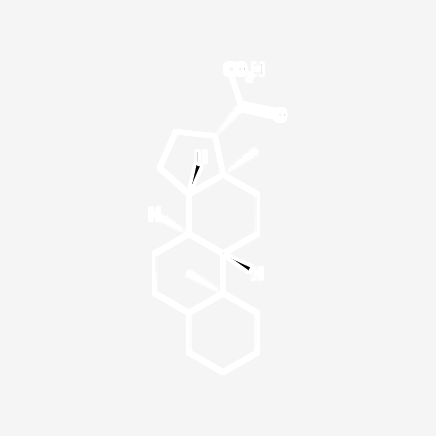 C[C@]12CC[C@H]3[C@@H](CCC4CCCC[C@@]43C)[C@@H]1CC[C@@H]2C(=O)C(=O)O